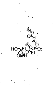 CCC(=O)ON1CC1.CCC(=O)ON1CC1.CCC(=O)ON1CC1.CCC(CO)(CO)CO